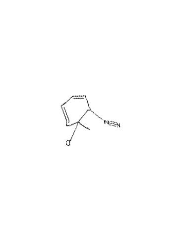 CC1(Cl)C=CC=CC1[N+]#N